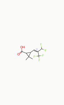 CC1(C)C(/C=C(/C(F)F)C(F)(F)F)C1C(=O)O